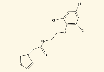 O=C(Cn1ccnc1)NCCOc1c(Cl)cc(Cl)cc1Cl